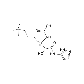 CC(C)(C)CCCC[C@H](NC(=O)O)C(O)C(=O)Nc1ccn[nH]1